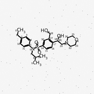 CCc1ccc(N(CC(C)C)S(=O)(=O)c2ccc([C@@H](O)CN3CCOCC3)c(CO)c2)cc1